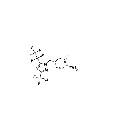 Cc1cc(Cn2nc(C(F)(F)Cl)nc2C(F)(F)C(F)(F)F)ccc1N